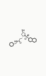 O=C(CC[C@@H]1C[C@@H](S)CN1S(=O)(=O)c1ccc2ccccc2c1)NCc1ccccc1